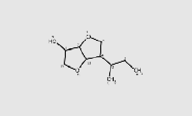 CCC(C)C1COC2C(O)COC12